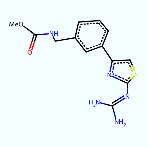 COC(=O)NCc1cccc(-c2csc(N=C(N)N)n2)c1